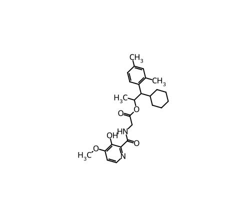 COc1ccnc(C(=O)NCC(=O)OC(C)C(c2ccc(C)cc2C)C2CCCCC2)c1O